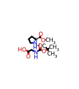 CC(C)(C)OC(=O)NCC(=O)O.COC(=O)[C@@H]1CCCN1